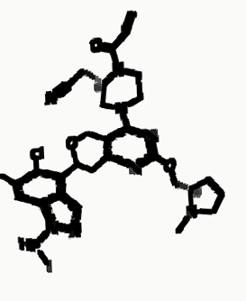 C=CC(=O)N1CCN(c2nc(OC[C@@H]3CCCN3C)nc3c2COC(c2c(Cl)c(C)cc4c2cnn4PI)C3)C[C@@H]1CC#N